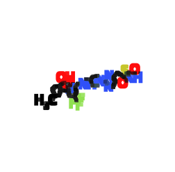 Cc1ccc(C(=O)O)c(-c2cc(C(F)(F)F)cc(CNCC3CCN(c4nccc(C=C5SC(=O)NC5=O)n4)CC3)n2)c1